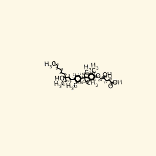 CCCCCCC(O)(C=Cc1ccc(C(CC)(CC)c2ccc(OC[C@@H](O)CCC(=O)O)c(C)c2)cc1C)CC